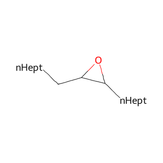 [CH2]CCCCCCC1OC1CCCCCCCC